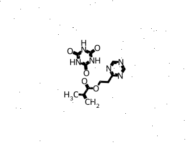 C=C(C)C(=O)OCCc1ncncn1.O=c1[nH]c(=O)[nH]c(=O)[nH]1